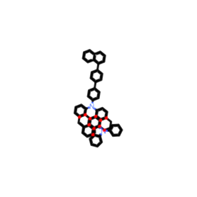 C1=c2cccc(C3CCCCC3)c2=C(c2ccccc2N(c2ccc(-c3ccc(-c4cccc5ccccc45)cc3)cc2)c2ccccc2-c2ccc3c(c2)c2ccccc2n3-c2ccccc2)CC1